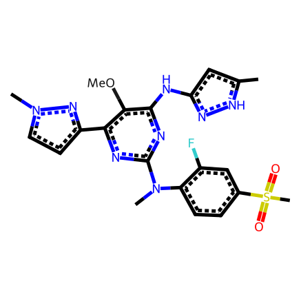 COc1c(Nc2cc(C)[nH]n2)nc(N(C)c2ccc(S(C)(=O)=O)cc2F)nc1-c1ccn(C)n1